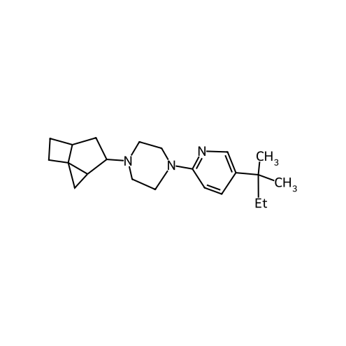 CCC(C)(C)c1ccc(N2CCN(C3CC4CCC45CC35)CC2)nc1